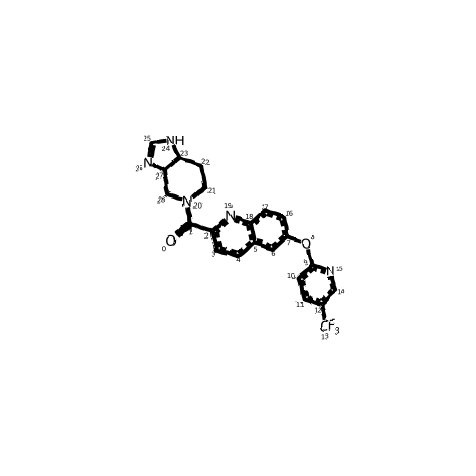 O=C(c1ccc2cc(Oc3ccc(C(F)(F)F)cn3)ccc2n1)N1CCC2NC=NC2C1